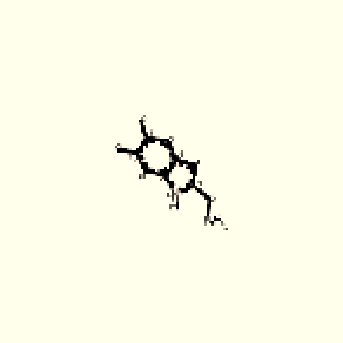 Cc1cc2cc(CN)[nH]c2cc1C